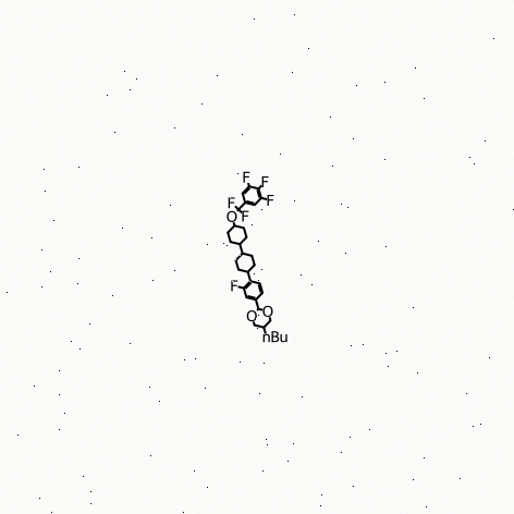 CCCCC1COC(c2ccc(C3CCC(C4CCC(OC(F)(F)c5cc(F)c(F)c(F)c5)CC4)CC3)c(F)c2)OC1